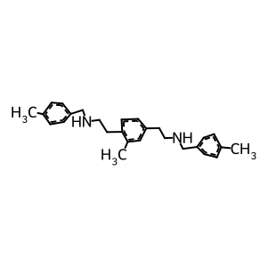 Cc1ccc(CNCCc2ccc(CCNCc3ccc(C)cc3)c(C)c2)cc1